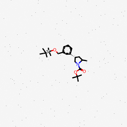 CC1C[C@@H](c2cccc(CO[Si](C)(C)C(C)(C)C)c2)CN1C(=O)OC(C)(C)C